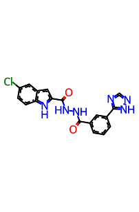 O=C(NNC(=O)c1cc2cc(Cl)ccc2[nH]1)c1cccc(-c2ncn[nH]2)c1